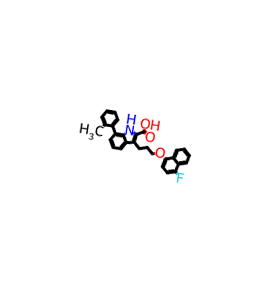 Cc1ccccc1-c1cccc2c(CCCOc3ccc(F)c4ccccc34)c(C(=O)O)[nH]c12